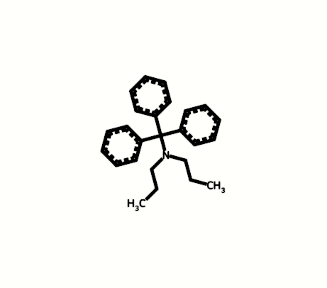 CCCN(CCC)C(c1ccccc1)(c1ccccc1)c1ccccc1